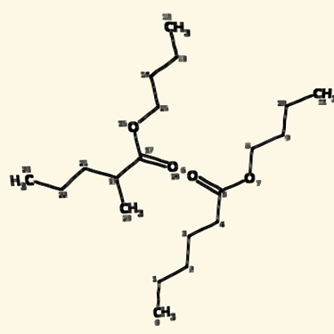 CCCCCC(=O)OCCCC.CCCCOC(=O)C(C)CCC